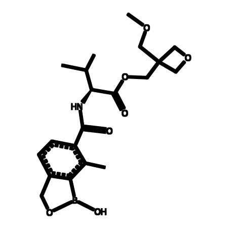 COCC1(COC(=O)[C@@H](NC(=O)c2ccc3c(c2C)B(O)OC3)C(C)C)COC1